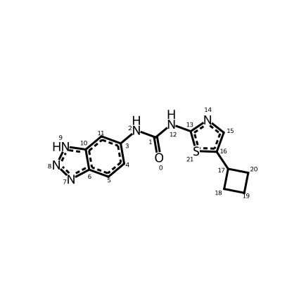 O=C(Nc1ccc2nn[nH]c2c1)Nc1ncc(C2CCC2)s1